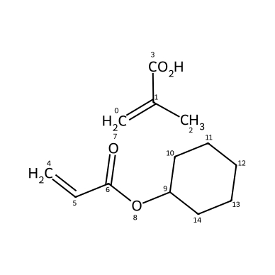 C=C(C)C(=O)O.C=CC(=O)OC1CCCCC1